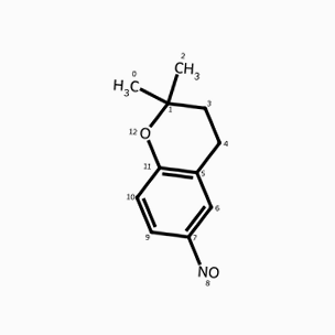 CC1(C)CCc2cc(N=O)ccc2O1